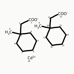 CC1(CC(=O)[O-])CCCCC1.CC1(CC(=O)[O-])CCCCC1.[Cd+2]